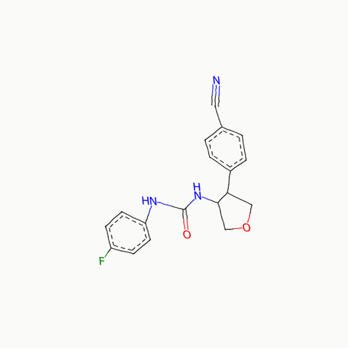 N#Cc1ccc(C2COCC2NC(=O)Nc2ccc(F)cc2)cc1